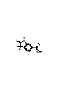 COC(=O)c1ccc2c(c1)NC(=O)C2(C)C